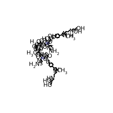 C[n+]1cc(-c2ccc(OC[C@H](O/N=C(/C(=O)N[C@@H]3C(=O)N(OS(=O)(=O)ON4C(=O)[C@@H](NC(=O)/C(=N/O[C@@H](COc5ccc(-c6cn(CCCNC[C@H](O)CO)[n+](C)c6)cc5)C(=O)O)c5csc(N)n5)C4(C)C)C3(C)C)c3csc(N)n3)C(=O)O)cc2)cn1CCCNC[C@H](O)CO